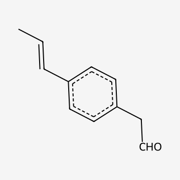 C/C=C/c1ccc(CC=O)cc1